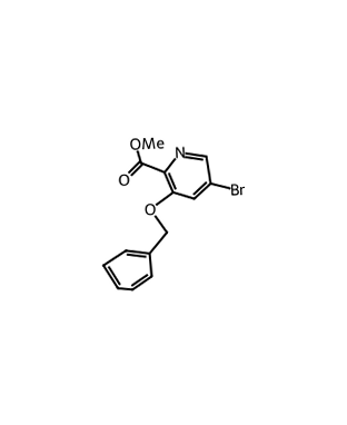 COC(=O)c1ncc(Br)cc1OCc1ccccc1